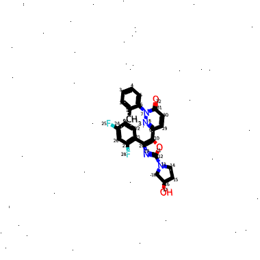 Cc1ccccc1-n1nc(-c2oc(N3CCC(O)C3)nc2-c2ccc(F)cc2F)ccc1=O